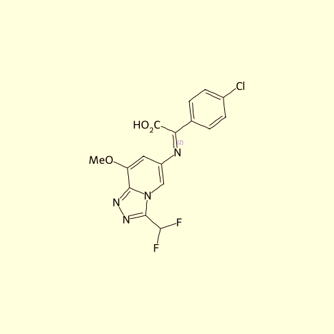 COc1cc(/N=C(\C(=O)O)c2ccc(Cl)cc2)cn2c(C(F)F)nnc12